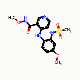 CONC(=O)c1cnccc1Nc1ccc(OC)cc1NS(C)(=O)=O